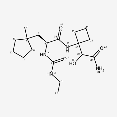 CCNC(=O)N[C@@H](CC1(C)CCCC1)C(=O)NC1(C(O)C(N)=O)CCC1